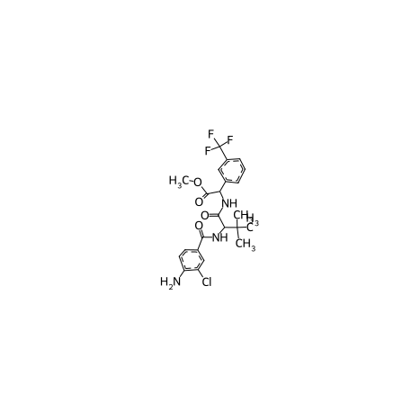 COC(=O)C(NC(=O)C(NC(=O)c1ccc(N)c(Cl)c1)C(C)(C)C)c1cccc(C(F)(F)F)c1